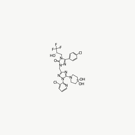 O=c1n(Cc2nc(N3CCS(O)(O)CC3)n(-c3ncccc3Cl)n2)nc(-c2ccc(Cl)cc2)n1C[C@H](O)C(F)(F)F